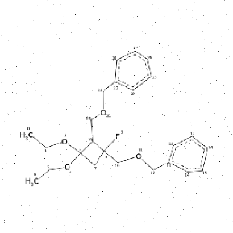 CCOC1(OCC)CC(F)(COCc2ccccc2)C1COCc1ccccc1